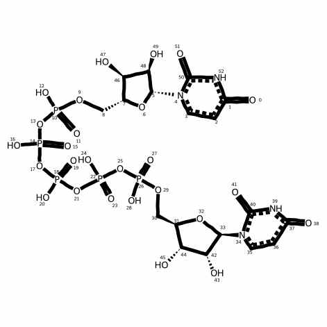 O=c1ccn([C@@H]2O[C@H](COP(=O)(O)OP(=O)(O)OP(=O)(O)OP(=O)(O)OP(=O)(O)OC[C@H]3O[C@@H](n4ccc(=O)[nH]c4=O)[C@H](O)[C@@H]3O)[C@@H](O)[C@H]2O)c(=O)[nH]1